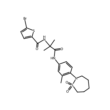 Cc1cc(NC(=O)C(C)(C)NC(=O)c2ccc(Br)s2)ccc1N1CCCCCS1(=O)=O